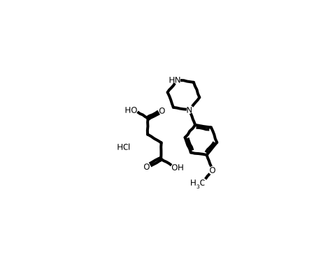 COc1ccc(N2CCNCC2)cc1.Cl.O=C(O)CCC(=O)O